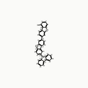 Cc1cccc2oc3cc(-c4ccc5c(c4)oc4ccc(-n6c7ccccc7c7ccccc76)cc45)ccc3c12